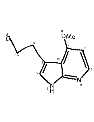 COc1ccnc2[nH]cc(CCCl)c12